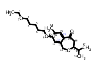 CCOCCCCCOC/C=C1/COC(C(C)C)CC(=O)/C1=C/C(C)Br